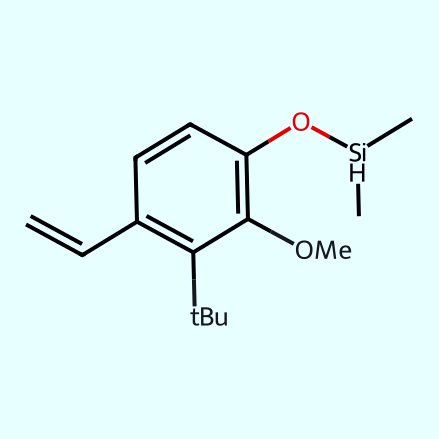 C=Cc1ccc(O[SiH](C)C)c(OC)c1C(C)(C)C